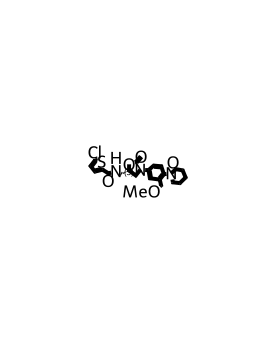 COCc1cc(N2C[C@H](CNC(=O)c3ccc(Cl)s3)OC2=O)ccc1N1CCCCC1=O